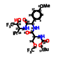 COc1ccc(C(NC(=O)C(COC(F)(F)F)NC(=O)OC(C)(C)C)C(=O)NC(C(C)C)C(O)C(F)(F)F)cc1